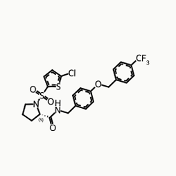 O=C(NCc1ccc(OCc2ccc(C(F)(F)F)cc2)cc1)[C@@H]1CCCN1S(=O)(=O)c1ccc(Cl)s1